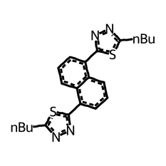 CCCCc1nnc(-c2cccc3c(-c4nnc(CCCC)s4)cccc23)s1